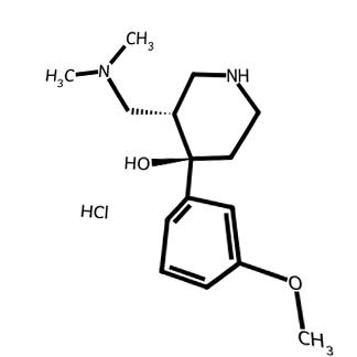 COc1cccc([C@@]2(O)CCNC[C@H]2CN(C)C)c1.Cl